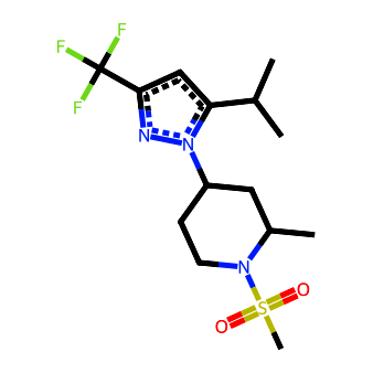 CC(C)c1cc(C(F)(F)F)nn1C1CCN(S(C)(=O)=O)C(C)C1